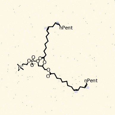 CCCCC/C=C\C/C=C\CCCCCCCC(=O)OCC(COP(=O)([O-])OCC[N+](C)(C)C)OC(=O)CCCCCCC/C=C\C/C=C\CCCCC